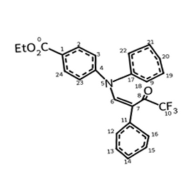 CCOC(=O)c1ccc(N(/C=C(\C(=O)C(F)(F)F)c2ccccc2)c2ccccc2)cc1